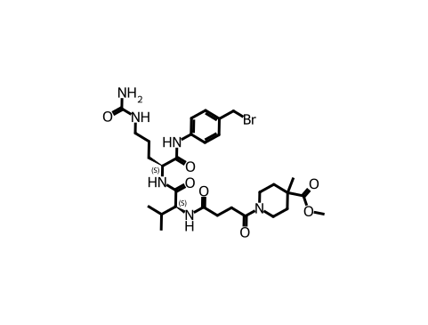 COC(=O)C1(C)CCN(C(=O)CCC(=O)N[C@H](C(=O)N[C@@H](CCCNC(N)=O)C(=O)Nc2ccc(CBr)cc2)C(C)C)CC1